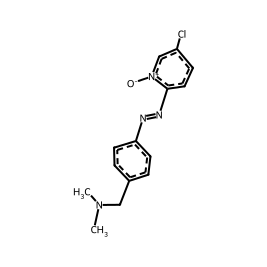 CN(C)Cc1ccc(/N=N/c2ccc(Cl)c[n+]2[O-])cc1